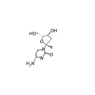 Nc1ccn([C@@]2(I)C[C@H](O)[C@@H](CO)O2)c(=O)n1